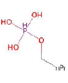 CCCCO[PH](O)(O)O